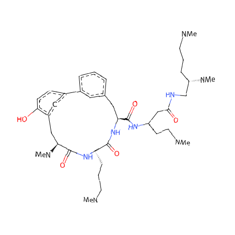 CNCCC[C@@H](CNC(=O)CC(CCNC)NC(=O)[C@@H]1Cc2cccc(c2)-c2ccc(O)c(c2)C[C@H](NC)C(=O)N[C@@H](CCCNC)C(=O)N1)NC